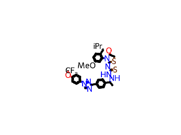 COc1ccc(CC(C)C)c(N2C(=O)CS/C2=N\C(=S)NNC(C)c2ccc(-c3ncn(-c4ccc(OC(F)(F)F)cc4)n3)cc2)c1